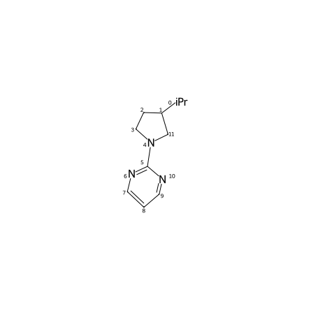 CC(C)C1CCN(c2ncccn2)C1